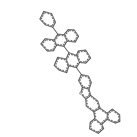 c1ccc(-c2c3ccccc3c(-c3c4ccccc4c(-c4ccc5c(c4)oc4cc6c7ccccc7c7ccccc7c6cc45)c4ccccc34)c3ccccc23)cc1